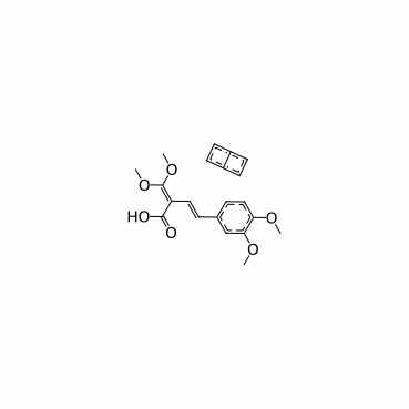 COC(OC)=C(C=Cc1ccc(OC)c(OC)c1)C(=O)O.c1cc2ccc1-2